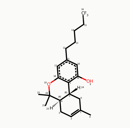 CC1=CC[C@@H]2[C@@H](C1)c1c(O)cc(CCCCC(F)(F)F)cc1OC2(C)C